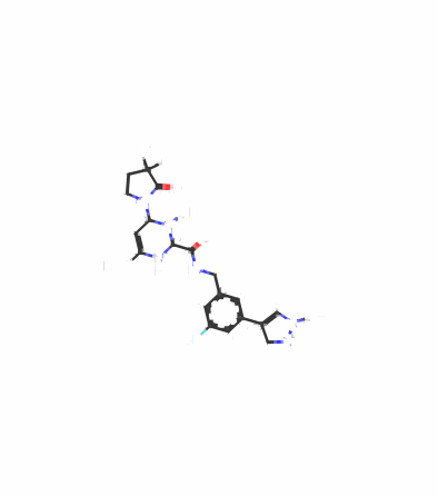 CC1=CC(N2CCC(C)(C)C2=O)N(C)C(C(=O)NCc2cc(F)cc(C3=CN(C)NC3)c2)N1